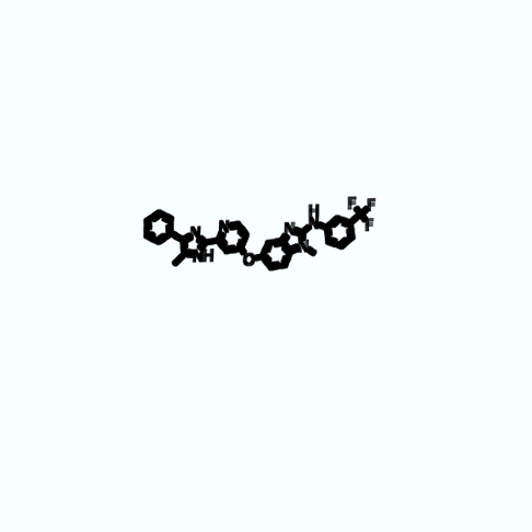 Cc1[nH]c(-c2cc(Oc3ccc4c(c3)nc(Nc3cccc(C(F)(F)F)c3)n4C)ccn2)nc1-c1ccccc1